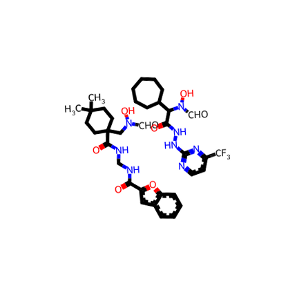 CC1(C)CCC(CN(O)C=O)(C(=O)NCNC(=O)c2cc3ccccc3o2)CC1.O=CN(O)C(C(=O)NNc1nccc(C(F)(F)F)n1)C1CCCCCC1